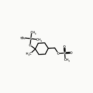 CC1(O[Si](C)(C)C(C)(C)C)CCC(COS(C)(=O)=O)CC1